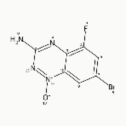 Nc1nc2c(F)cc(Br)cc2[n+]([O-])n1